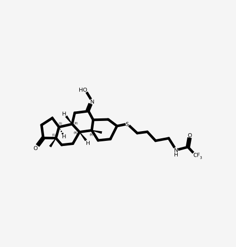 C[C@]12CCC(SCCCCNC(=O)C(F)(F)F)CC1C(=NO)C[C@@H]1[C@H]2CC[C@]2(C)C(=O)CC[C@@H]12